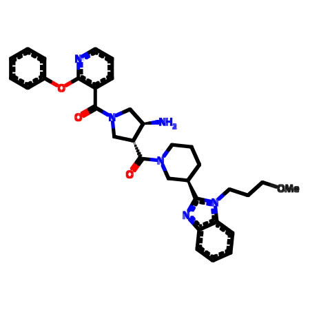 COCCCn1c([C@@H]2CCCN(C(=O)[C@@H]3CN(C(=O)c4cccnc4Oc4ccccc4)C[C@H]3N)C2)nc2ccccc21